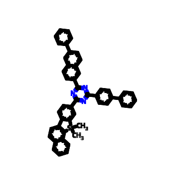 C[Si]1(C)c2cc(-c3nc(-c4ccc(-c5ccccc5)cc4)nc(-c4ccc5cc(-c6ccccc6)ccc5c4)n3)ccc2-c2ccc3ccccc3c21